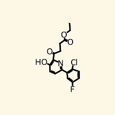 CCOC(=O)CCC(=O)c1nc(-c2cc(F)ccc2Cl)ccc1O